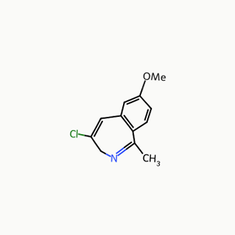 COc1ccc2c(c1)C=C(Cl)CN=C2C